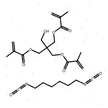 C=C(C)C(=O)OCC(CO)(COC(=O)C(=C)C)COC(=O)C(=C)C.O=C=NCCCCCCN=C=O